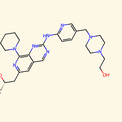 C[C@H](O)Cc1cc2cnc(Nc3ccc(CN4CCN(CCO)CC4)cn3)nc2c(N2CCCCC2)n1